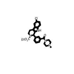 CCOC(=O)N1CCc2c([nH]c3ccc(Cl)cc23)C1c1cccc(C(=O)N2CCN(C)CC2)c1